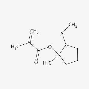 C=C(C)C(=O)OC1(C)CCCC1SC